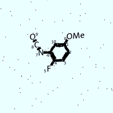 COc1ccc(F)c(N=C=O)c1